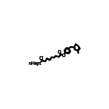 CCCCCCCC(Cl)CCCCCCCC(=O)Oc1ccc(CC2=CC(C)=CC[CH]2)cc1